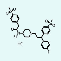 CCN(C(=O)Cc1ccc(S(C)(=O)=O)cc1)C1CCN(CCC(c2ccc(F)cc2)c2ccc(S(C)(=O)=O)cc2)CC1.Cl